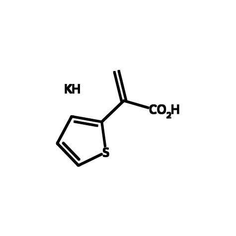 C=C(C(=O)O)c1cccs1.[KH]